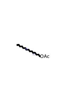 C=CCCC/C=C/CCC/C=C/CCCOC(C)=O